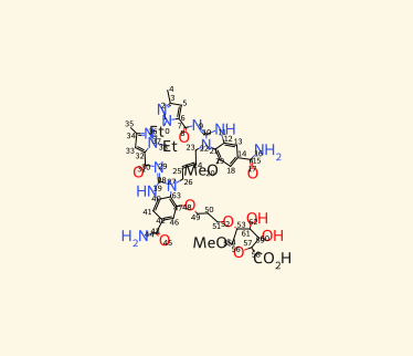 CCn1nc(C)cc1C(=O)/N=c1/[nH]c2cc(C(N)=O)cc(OC)c2n1C/C=C/Cn1/c(=N/C(=O)c2cc(C)nn2CC)[nH]c2cc(C(N)=O)cc(OCCCO[C@H]3[C@@H](OC)O[C@H](C(=O)O)[C@@H](O)[C@@H]3O)c21